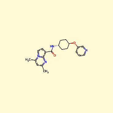 Cc1cc(C)n2ccc(C(=O)N[C@H]3CC[C@H](Oc4cccnc4)CC3)c2n1